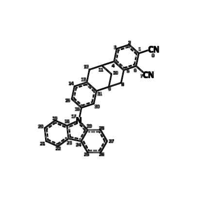 N#Cc1ccc2c(c1C#N)CC1CC2Cc2ccc(-n3c4ccccc4c4ccccc43)cc21